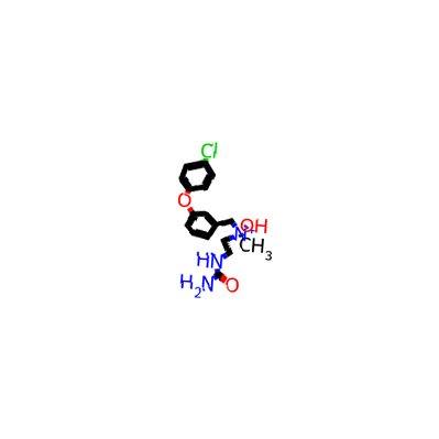 C[N+](O)(CCNC(N)=O)Cc1cccc(Oc2ccc(Cl)cc2)c1